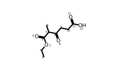 CCOC(=O)C(C)C(=O)CCC(=O)O